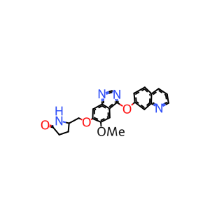 COc1cc2c(Oc3ccc4cccnc4c3)ncnc2cc1OCC1CCC(=O)N1